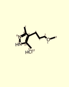 COCCCc1c(C)n[nH]c1C.Cl